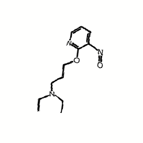 CCN(CC)CCCOc1ncccc1N=O